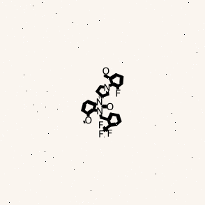 COc1cccc2c1n(Cc1ccccc1C(F)(F)F)c(=O)n2[C@@H]1CCN(c2c(F)cccc2C=O)C1